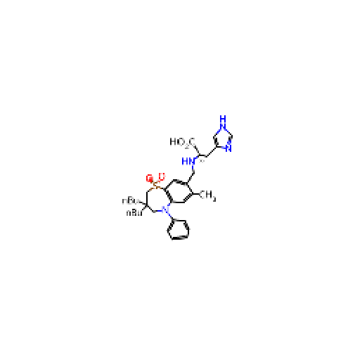 CCCCC1(CCCC)CN(c2ccccc2)c2cc(C)c(CN[C@H](Cc3c[nH]cn3)C(=O)O)cc2S(=O)(=O)C1